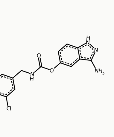 Nc1n[nH]c2ccc(OC(=O)NCc3cccc(Cl)c3)cc12